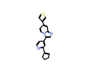 C1=C(c2cc(-c3cnc4cc(-c5ccsc5)ccn34)ccn2)CCC1